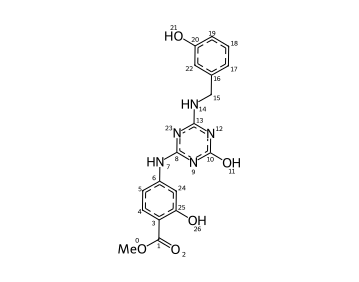 COC(=O)c1ccc(Nc2nc(O)nc(NCc3cccc(O)c3)n2)cc1O